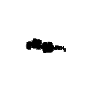 CC/C=C\C=C/CN1c2ccccc2N(c2c3ccccc3c(/C=C/C3=CC=C4c5ccc(N6CCCC7=C6CCC=C7)cc5C(c5ccccc5)(c5ccccc5)C4C3)c3ccccc23)c2ccccc21